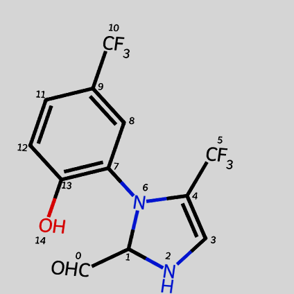 O=CC1NC=C(C(F)(F)F)N1c1cc(C(F)(F)F)ccc1O